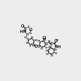 O=C1COCC(Cc2ccc(Oc3ccc(/C=C4/C(=O)Nc5ccccc54)c(Cl)c3)cc2)N1